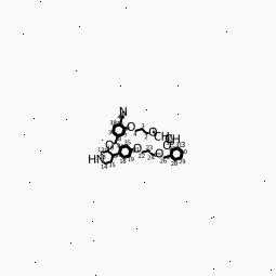 COCCCOc1cc(COC2CNCCC2c2ccc(OCCCOCc3ccccc3OC)cc2)ccc1C#N